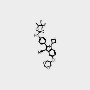 CC(OC(=O)Nc1ccc(-c2c(C#N)c3cc(OC4COCOC4)ccc3n2C2CCC2)cc1)C(F)(F)F